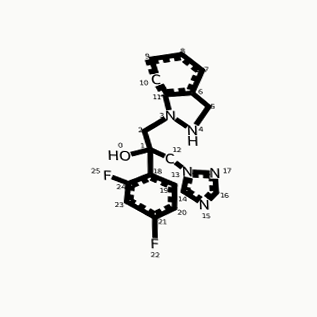 OC(CN1NCc2ccccc21)(Cn1cncn1)c1ccc(F)cc1F